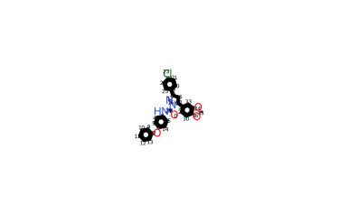 O=C(Nc1ccc(Oc2ccccc2)cc1)N1N=C(c2ccc(Cl)cc2)CC1c1ccc2c(c1)OCO2